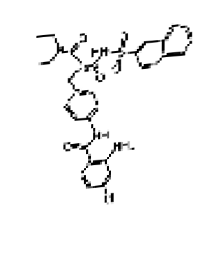 CCN(CC)C(=O)[C@H](Cc1ccc(NC(=O)c2ccc(Cl)cc2N)cc1)C(=O)NS(=O)(=O)c1ccc2ccccc2c1